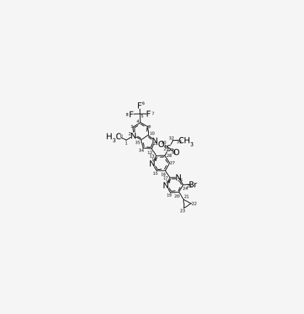 CCn1cc(C(F)(F)F)cc2nc(-c3ncc(-c4ncc(C5CC5)c(Br)n4)cc3S(=O)(=O)CC)cc1-2